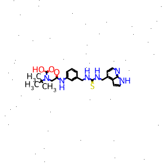 CC(C)(C)N(CC(=O)Nc1cccc(CNC(=S)NCc2ccnc3[nH]ccc23)c1)C(=O)O